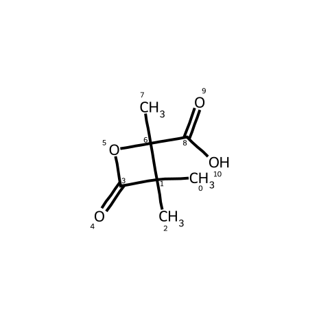 CC1(C)C(=O)OC1(C)C(=O)O